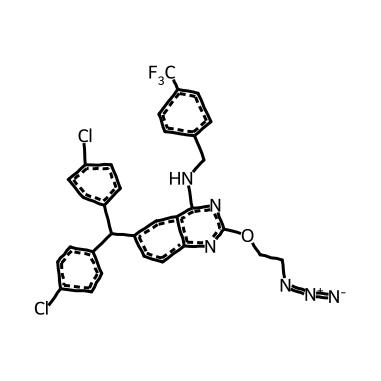 [N-]=[N+]=NCCOc1nc(NCc2ccc(C(F)(F)F)cc2)c2cc(C(c3ccc(Cl)cc3)c3ccc(Cl)cc3)ccc2n1